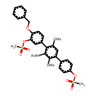 COc1cc(-c2ccc(OS(C)(=O)=O)cc2)c(OC)c(NC(C)=O)c1-c1ccc(OCc2ccccc2)c(OS(C)(=O)=O)c1